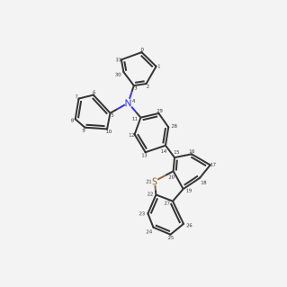 c1ccc(N(c2ccccc2)c2ccc(-c3cccc4c3sc3ccccc34)cc2)cc1